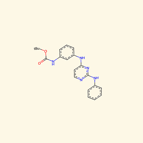 CC(C)(C)OC(=O)Nc1cccc(Nc2ccnc(Nc3ccccc3)n2)c1